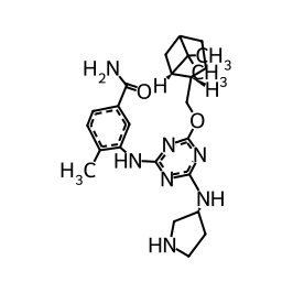 Cc1ccc(C(N)=O)cc1Nc1nc(N[C@@H]2CCNC2)nc(OC[C@H]2CCC3C[C@@H]2C3(C)C)n1